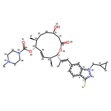 C/C(=C\c1ccc2c(F)nn(CC3CC3)c2c1)[C@H]1OC(=O)C[C@H](O)CC[C@H](C)[C@@H](OC(=O)N2CCN(C)CC2)/C=C/[C@@H]1C